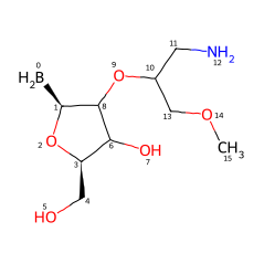 B[C@@H]1O[C@H](CO)C(O)C1OC(CN)COC